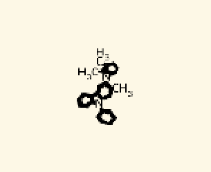 Cc1cc2c(cc1N1C3CCC(C)(C3)[C@@H]1C)c1ccccc1n2-c1ccccc1